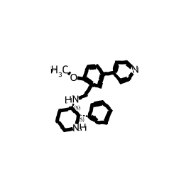 COc1ccc(-c2ccncc2)cc1CN[C@H]1CCCN[C@H]1c1ccccc1